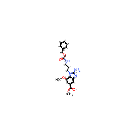 COC(=O)c1cc(OC)c2c(c1)nc(N)n2CCCNC(=O)OCc1ccccc1